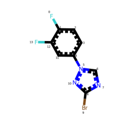 Fc1ccc(-n2cnc(Br)n2)cc1F